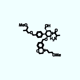 COCCCN1CCOc2ccc(CO[C@H]3CN(C(=O)C(C)N)C[C@@H](CO)[C@@H]3c3ccc(COCC(C)COC)cc3)cc21